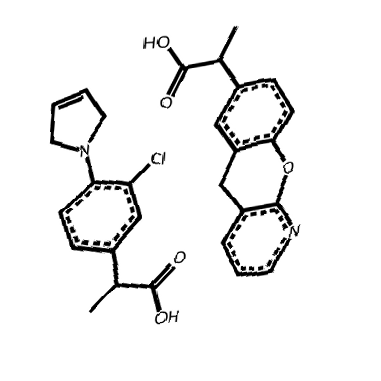 CC(C(=O)O)c1ccc(N2CC=CC2)c(Cl)c1.CC(C(=O)O)c1ccc2c(c1)Cc1cccnc1O2